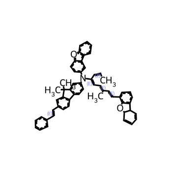 C\C=C/C(=C\C=C(C)\C=C\c1cccc2c1OC1C=CC=CC21)N(c1ccc2c(c1)C(C)(C)c1cc(/C=C/c3ccccc3)ccc1-2)c1ccc2oc3ccccc3c2c1